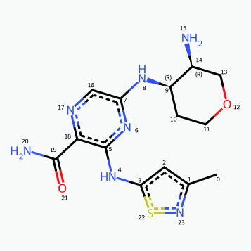 Cc1cc(Nc2nc(N[C@@H]3CCOC[C@@H]3N)cnc2C(N)=O)sn1